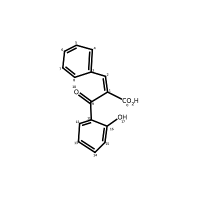 O=C(O)C(=Cc1ccccc1)C(=O)c1ccccc1O